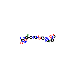 O=C1CCC(Nc2ccc(C3CCN(C4CCN(C(=O)O[C@H]5CC[C@H](Nc6ncc(F)c(-c7cccc(N8CCCOC8=O)c7)n6)CC5)CC4)CC3)c(F)c2)C(=O)N1